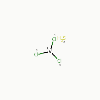 S.[Cl][V]([Cl])[Cl]